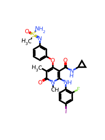 Cc1c(Oc2cccc(N=[S@@](C)(N)=O)c2)c(C(=O)NC2CC2)c(Nc2ccc(I)cc2F)n(C)c1=O